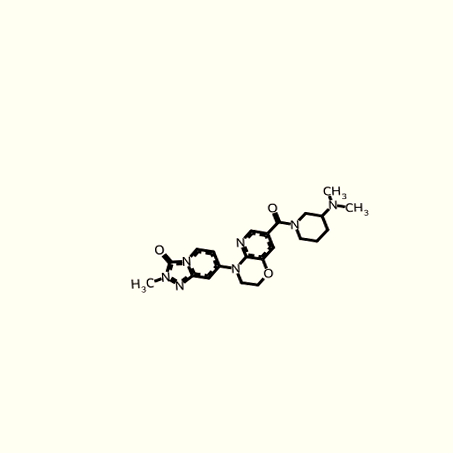 CN(C)C1CCCN(C(=O)c2cnc3c(c2)OCCN3c2ccn3c(=O)n(C)nc3c2)C1